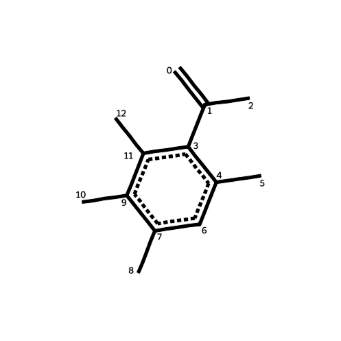 C=C(C)c1c(C)cc(C)c(C)c1C